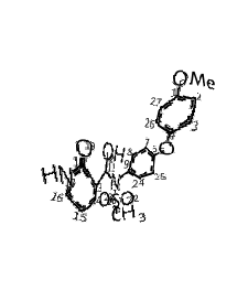 COc1ccc(Oc2ccc(N(C(O)c3ccc[nH]c3=O)S(C)(=O)=O)cc2)cc1